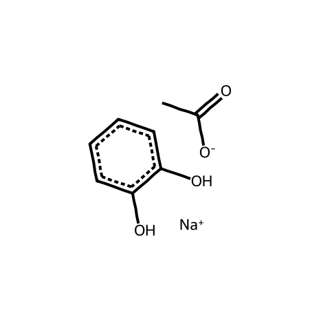 CC(=O)[O-].Oc1ccccc1O.[Na+]